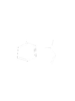 C=CB(O)O.c1ccncc1